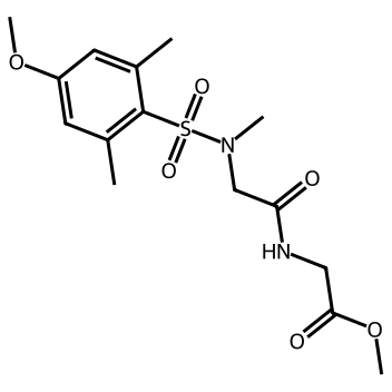 COC(=O)CNC(=O)CN(C)S(=O)(=O)c1c(C)cc(OC)cc1C